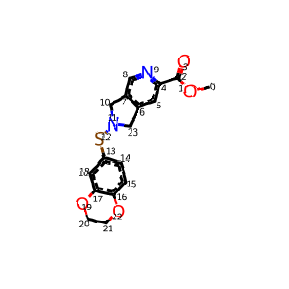 COC(=O)c1cc2c(cn1)CN(Sc1ccc3c(c1)OCCO3)C2